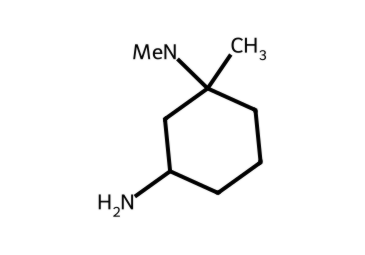 CNC1(C)CCCC(N)C1